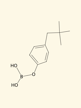 CC(C)(C)Cc1ccc(OB(O)O)cc1